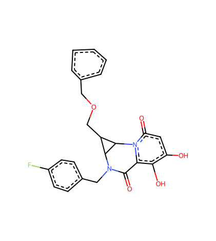 O=C1c2c(O)c(O)cc(=O)n2C2C(COCc3ccccc3)C2N1Cc1ccc(F)cc1